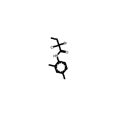 CCC(Cl)(Br)C(=O)Nc1ccc(C)cc1C